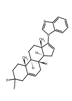 C[C@]12CCC(F)(F)CC1=CC[C@@H]1[C@@H]2CC[C@]2(C)C(n3cnc4ccccc43)=CC[C@@H]12